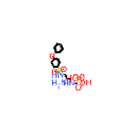 NC(CNC(=O)P(=O)(O)O)CNS(=O)(=O)c1ccc(Oc2ccccc2)cc1